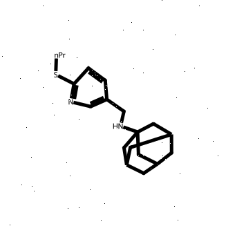 CCCSc1ccc(CNC23CC4CC(CC(C4)C2)C3)cn1